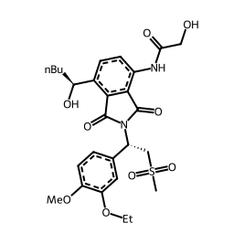 CCCC[C@H](O)c1ccc(NC(=O)CO)c2c1C(=O)N([C@H](CS(C)(=O)=O)c1ccc(OC)c(OCC)c1)C2=O